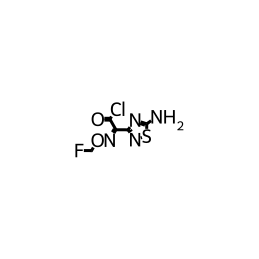 Nc1nc(/C(=N/OCF)C(=O)Cl)ns1